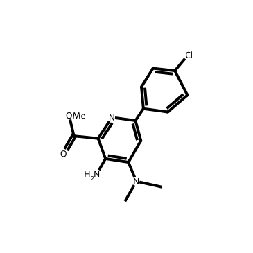 COC(=O)c1nc(-c2ccc(Cl)cc2)cc(N(C)C)c1N